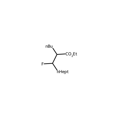 CCCCCCCC(F)C(CCCC)C(=O)OCC